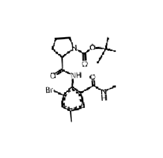 CNC(=O)c1cc(C)cc(Br)c1NC(=O)C1CCCN1C(=O)OC(C)(C)C